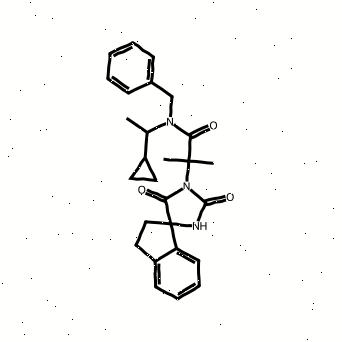 CC(C1CC1)N(Cc1ccccc1)C(=O)C(C)(C)N1C(=O)NC2(CCc3ccccc32)C1=O